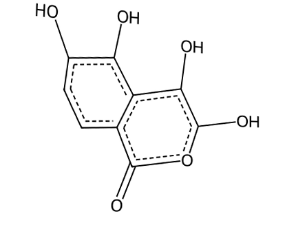 O=c1oc(O)c(O)c2c(O)c(O)ccc12